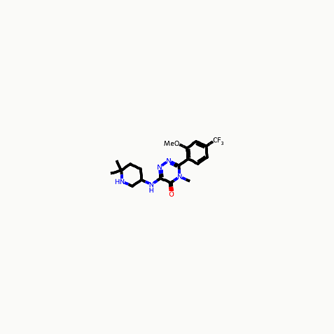 COc1cc(C(F)(F)F)ccc1-c1nnc(NC2CCC(C)(C)NC2)c(=O)n1C